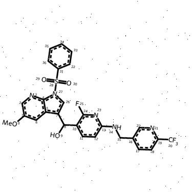 COc1cnc2c(c1)c(C(O)c1ccc(NCc3ccc(C(F)(F)F)nc3)nc1F)cn2S(=O)(=O)c1ccccc1